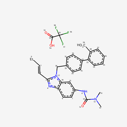 CCC=Cc1nc2ccc(NC(=O)N(C)C)cc2n1Cc1ccc(-c2ccccc2C(=O)O)cc1.O=C(O)C(F)(F)F